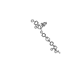 CN1CCN(c2ccc(N3CCN(c4ccc(OC[C@@H]5CO[C@@](Cn6cncn6)(c6ccc(Cl)cc6Cl)O5)cc4)CC3)cc2)C1=O